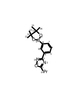 CC(C)c1nc(-c2cccc(B3OC(C)(C)C(C)(C)O3)c2)no1